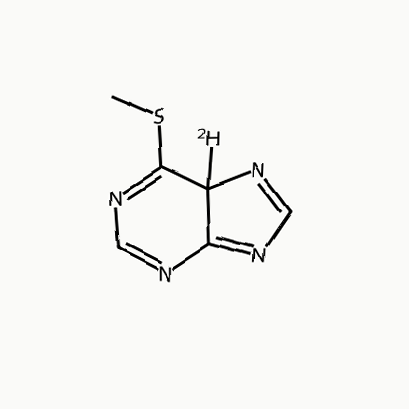 [2H]C12N=CN=C1N=CN=C2SC